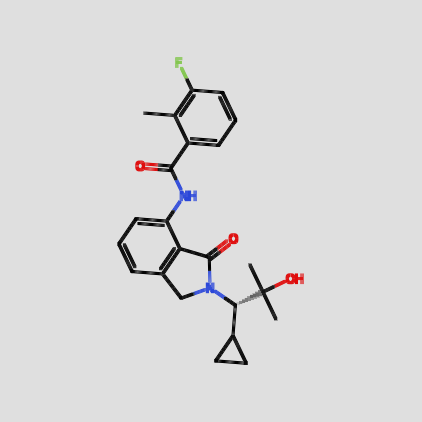 Cc1c(F)cccc1C(=O)Nc1cccc2c1C(=O)N([C@@H](C1CC1)C(C)(C)O)C2